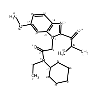 CCN(C(=O)Cn1c(C(=O)C(C)C)nc2ccc(OC)cc21)C1CCCCC1